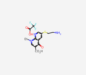 CCn1cc(C(=O)O)c(=O)c2cc(SCCN)cnc21.O=C(O)C(F)(F)F